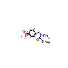 CNC(=S)N(C)Cc1ccc([PH](=O)O)cc1